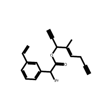 C#CCC=C(C)C(C#C)OC(=O)C(c1cccc(C=C)c1)C(C)C